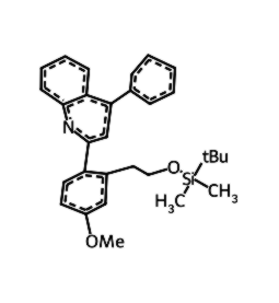 COc1ccc(-c2cc(-c3ccccc3)c3ccccc3n2)c(CCO[Si](C)(C)C(C)(C)C)c1